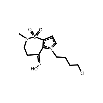 CN1CCC(=NO)c2c(ccn2CCCCCl)S1(=O)=O